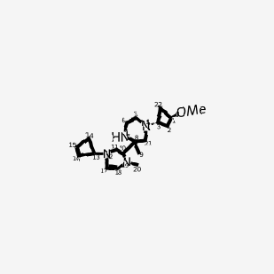 CO[C@H]1C[C@H](N2CCNC(C)(C3CN(C4CCC4)C=CN3C)C2)C1